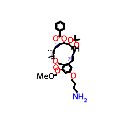 COCOc1cc(OCCCCN)cc2c1C(=O)O[C@@H](C)[C@H](C)/C=C\C(OC(=O)c1ccccc1)C1OC(C)(C)O[C@H]1C/C=C/2